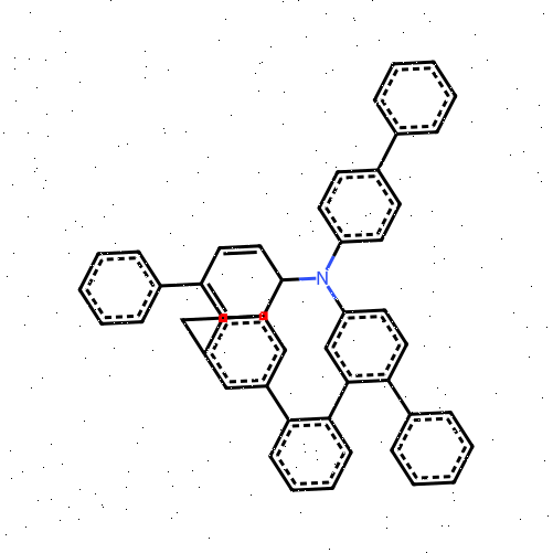 C1=CC(N(c2ccc(-c3ccccc3)cc2)c2ccc(-c3ccccc3)c(-c3ccccc3-c3ccc4c(c3)C4)c2)CC=C1c1ccccc1